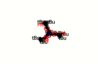 CC(C)(C)c1cc(CCC(=O)OCCn2c(=O)n(CCOC(=O)CCc3cc(C(C)(C)C)cc(C(C)(C)C)c3O)c(=O)n(CCOC(=O)CCc3cc(C(C)(C)C)cc(C(C)(C)C)c3O)c2=O)c(O)c(C(C)(C)C)c1